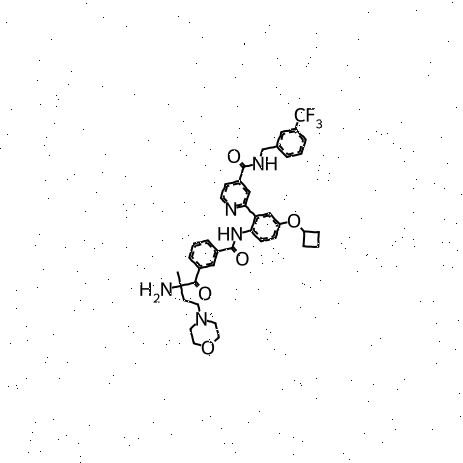 CC(N)(CCN1CCOCC1)C(=O)c1cccc(C(=O)Nc2ccc(OC3CCC3)cc2-c2cc(C(=O)NCc3cccc(C(F)(F)F)c3)ccn2)c1